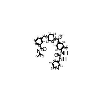 CC(C)=NC(=O)c1cccc(CN2CCN(C(=O)c3ccc(NC(=O)Nc4cccnc4)c(F)c3)CC2)c1